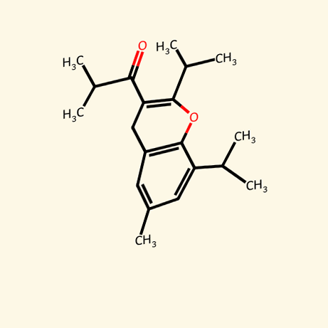 Cc1cc2c(c(C(C)C)c1)OC(C(C)C)=C(C(=O)C(C)C)C2